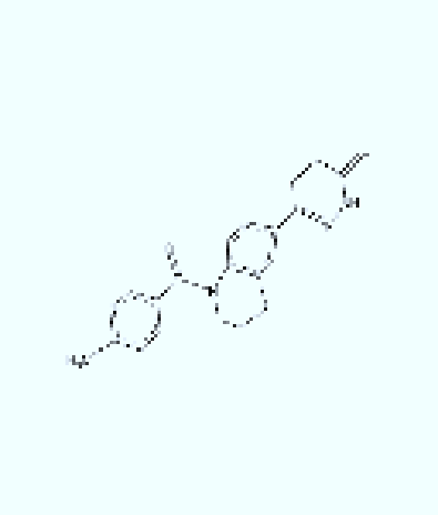 Cc1ccc(C(=O)N2CCCc3cc(C4=NNC(=O)CC4)ccc32)cc1